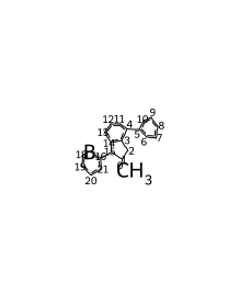 CC1Cc2c(-c3ccccc3)cccc2C1c1bcccc1